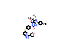 Cc1ccc(-n2nc3c(c2NC(=O)Nc2ccc(Sc4ccc5nnc(C6CCOCC6)n5c4)cc2)COC3(C)C)cc1